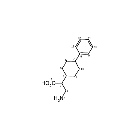 NCC(C(=O)O)C1CCC(c2ccccc2)CC1